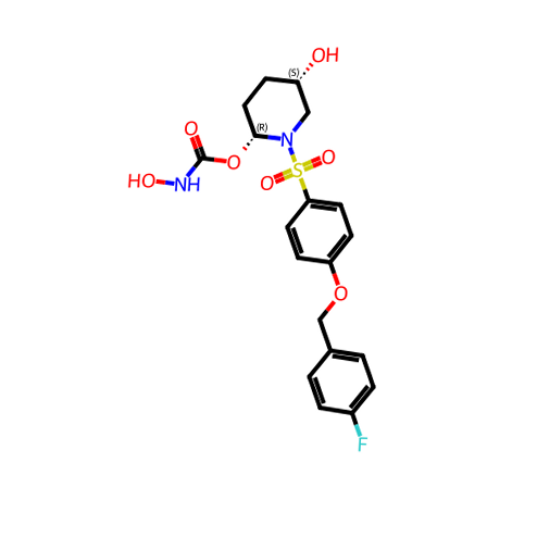 O=C(NO)O[C@@H]1CC[C@H](O)CN1S(=O)(=O)c1ccc(OCc2ccc(F)cc2)cc1